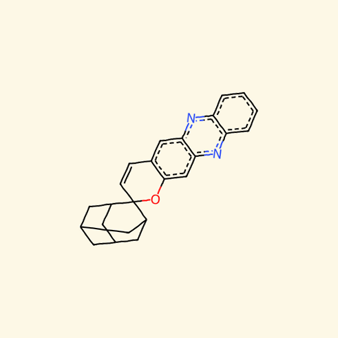 C1=CC2(Oc3cc4nc5ccccc5nc4cc31)C1CC3CC(C1)CC2C3